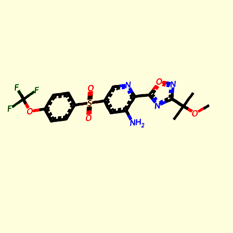 COC(C)(C)c1noc(-c2ncc(S(=O)(=O)c3ccc(OC(F)(F)F)cc3)cc2N)n1